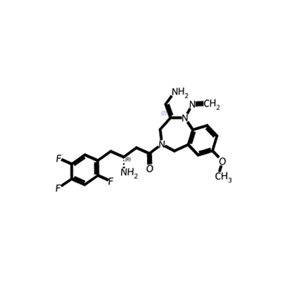 C=NN1/C(=C\N)CN(C(=O)C[C@H](N)Cc2cc(F)c(F)cc2F)Cc2cc(OC)ccc21